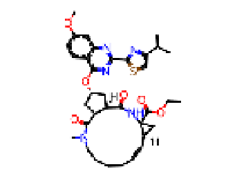 CCOC(=O)C12C[C@H]1/C=C\CCCCN(C)C(=O)C1C[C@H](Oc3nc(-c4nc(C(C)C)cs4)nc4cc(OC)ccc34)C[C@H]1C(=O)N2